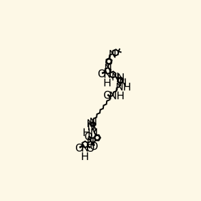 CC1(C)CCN(Cc2ccc(N3CC(=O)NC4(CCN(c5cc(NCCCNC(=O)CCCCCCCCCCn6cc(CNc7cccc8c7C(=O)N(C7CCC(=O)NC7=O)C8=O)nn6)ncn5)CC4)C3)cc2)CC1